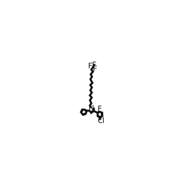 Fc1ccc(Cl)cc1C1=CC(c2ccccc2)N(CCCCCCCCCCCCCCCC(F)(F)F)C1